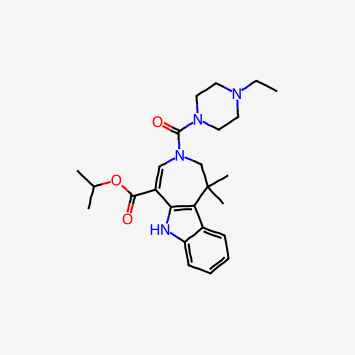 CCN1CCN(C(=O)N2C=C(C(=O)OC(C)C)c3[nH]c4ccccc4c3C(C)(C)C2)CC1